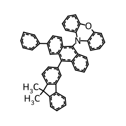 CC1(C)c2ccccc2-c2cc(-c3c4ccccc4c(N4c5ccccc5Oc5ccccc54)c4ccc(-c5ccccc5)cc34)ccc21